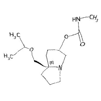 CNC(=O)OC1CN2CCC[C@]2(COC(C)C)C1